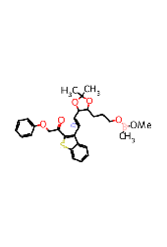 COB(C)OCCCC1OC(C)(C)OC1/C=C/c1c(C(=O)COc2ccccc2)sc2ccccc12